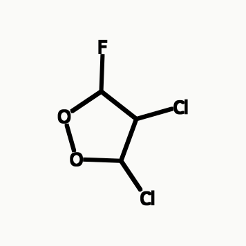 FC1OOC(Cl)C1Cl